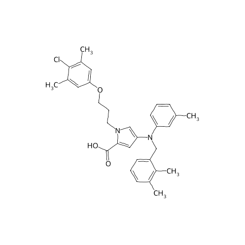 Cc1cccc(N(Cc2cccc(C)c2C)c2cc(C(=O)O)n(CCCOc3cc(C)c(Cl)c(C)c3)c2)c1